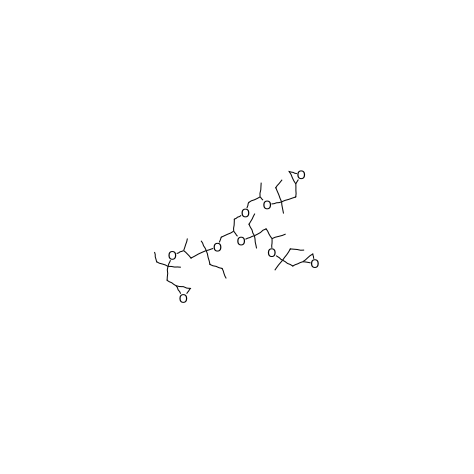 CCCC(C)(CC(C)OC(C)(CC)CC1CO1)OCC(COCC(C)OC(C)(CC)CC1CO1)OC(C)(CC)CC(C)OC(C)(CC)CC1CO1